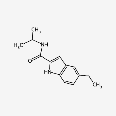 CCc1ccc2[nH]c(C(=O)NC(C)C)cc2c1